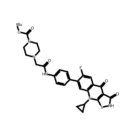 CC(C)(C)OC(=O)N1CCN(CC(=O)Nc2ccc(-c3cc4c(cc3F)c(=O)c3c(=O)[nH]sc3n4C3CC3)cc2)CC1